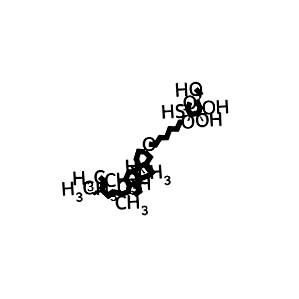 CC[C@H](/C=C/[C@@H](C)[C@H]1CC[C@H]2[C@@H]3CC=C4CC(OCCCCCCO[C@H]5[C@@H](O)[C@H](O)[C@@H](CO)O[C@H]5S)CC[C@]4(C)[C@H]3CC[C@]12C)C(C)C